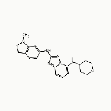 CN1CCc2ccc(Nc3nc4cccc(NC5CCOCC5)n4n3)cc21